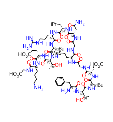 CC[C@H](C)[C@H](NC(=O)[C@H](CCCNC(=N)N)NC(=O)[C@H](CC(C)C)NC(=O)[C@H](CC(N)=O)NC(=O)CNC(=O)[C@H](CCSC)NC(=O)CNC(=O)[C@H](CC(=O)O)NC(=O)[C@@H](NC(=O)[C@@H](NC(=O)[C@@H](N)Cc1ccccc1)[C@@H](C)O)[C@@H](C)CC)C(=O)N[C@H](C(=O)N[C@@H](CCC(=O)O)C(=O)N[C@@H](CCCCN)C(=O)NCC(=O)O)[C@@H](C)O